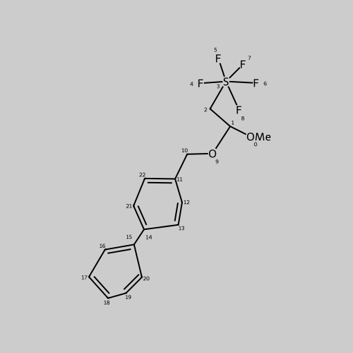 COC(CS(F)(F)(F)(F)F)OCc1ccc(-c2ccccc2)cc1